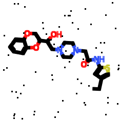 CCc1csc(NC(=O)CN2CCN(CC(O)C3COc4ccccc4O3)CC2)c1